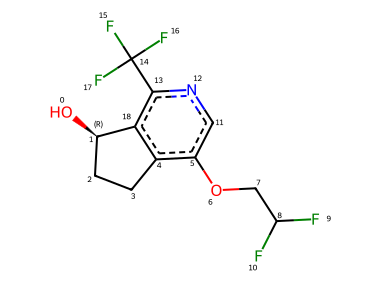 O[C@@H]1CCc2c(OCC(F)F)cnc(C(F)(F)F)c21